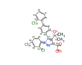 CC1(C)Oc2cc(-c3ccccc3Cl)ccc2-c2c1c(C(=O)O)nn2-c1ccc(Cl)cc1Cl